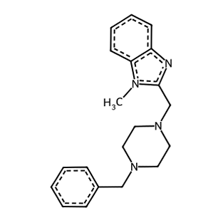 Cn1c(CN2CCN(Cc3ccccc3)CC2)nc2ccccc21